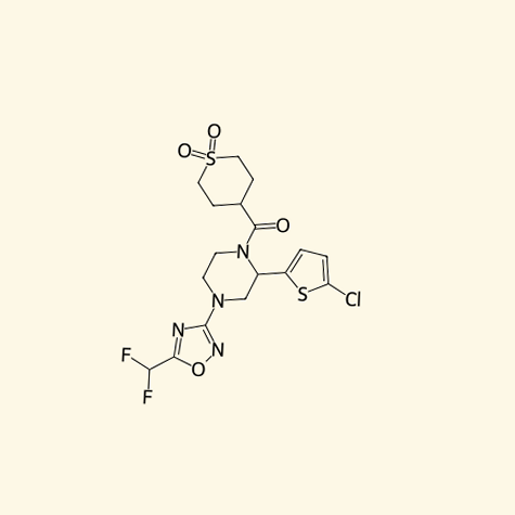 O=C(C1CCS(=O)(=O)CC1)N1CCN(c2noc(C(F)F)n2)CC1c1ccc(Cl)s1